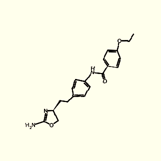 CCOc1ccc(C(=O)Nc2ccc(CC[C@H]3COC(N)=N3)cc2)cc1